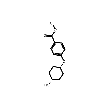 CC(C)(C)OC(=O)c1ccc(O[C@H]2CC[C@@H](O)CC2)cc1